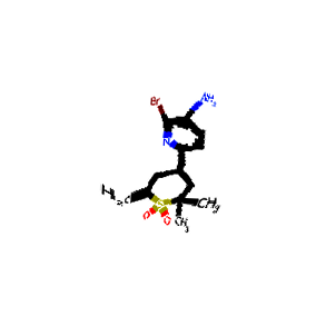 C=C1CC(c2ccc(N)c(Br)n2)CC(C)(C)S1(=O)=O